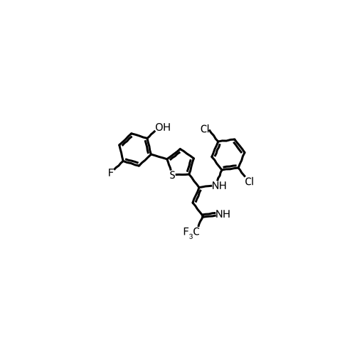 N=C(/C=C(\Nc1cc(Cl)ccc1Cl)c1ccc(-c2cc(F)ccc2O)s1)C(F)(F)F